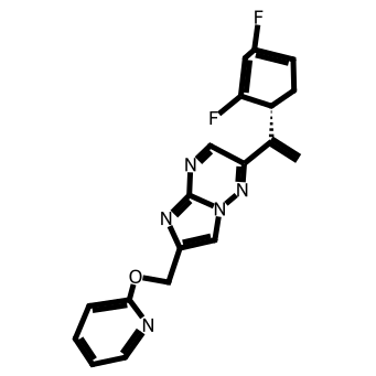 C=C(c1cnc2nc(COc3ccccn3)cn2n1)[C@H]1CC=C(F)C=C1F